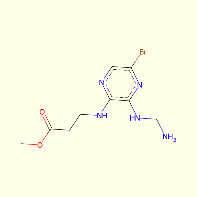 COC(=O)CCNc1ncc(Br)nc1NCN